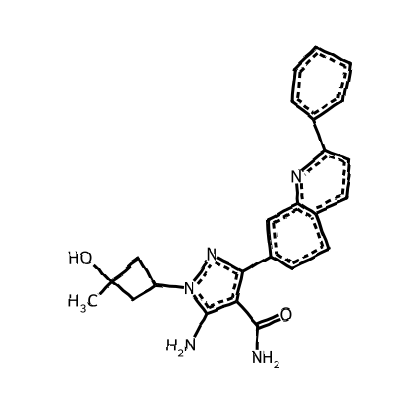 CC1(O)CC(n2nc(-c3ccc4ccc(-c5ccccc5)nc4c3)c(C(N)=O)c2N)C1